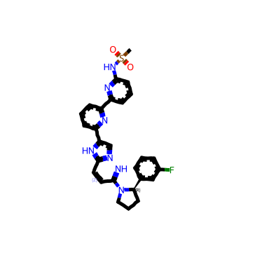 CS(=O)(=O)Nc1cccc(-c2cccc(-c3cnc(/C=C\C(=N)N4CCC[C@@H]4c4cccc(F)c4)[nH]3)n2)n1